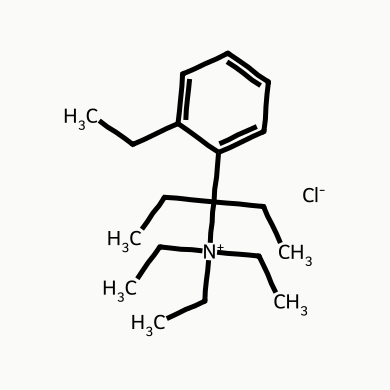 CCc1ccccc1C(CC)(CC)[N+](CC)(CC)CC.[Cl-]